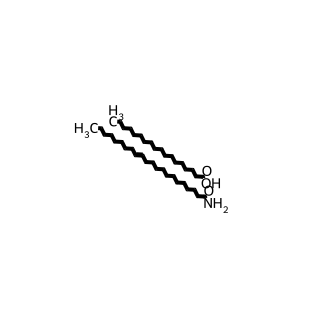 CCCCCCCCC=CCCCCCCCCCCCC(N)=O.CCCCCCCCCCCCCCCCCC(=O)O